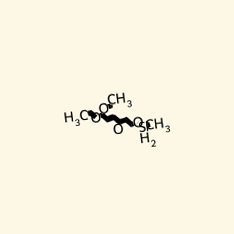 CCOC(C=CC(=O)CCO[SiH2]C)OCC